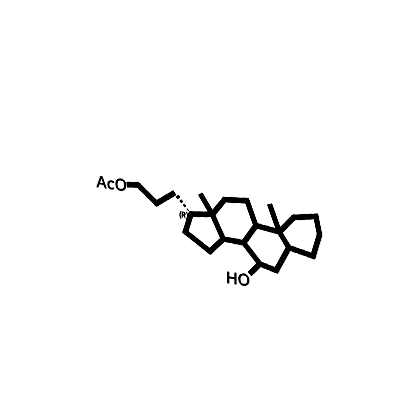 CC(=O)OCCC[C@H]1CCC2C3C(O)CC4CCCCC4(C)C3CCC21C